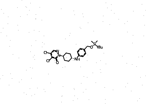 CC(C)(C)[Si](C)(C)OCc1ccc(N[C@H]2CC[C@H](n3ncc(Cl)c(Cl)c3=O)CC2)cc1